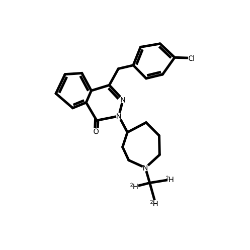 [2H]C([2H])([2H])N1CCCC(n2nc(Cc3ccc(Cl)cc3)c3ccccc3c2=O)CC1